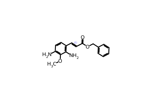 COc1c(N)ccc(/C=C/C(=O)OCc2ccccc2)c1N